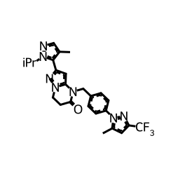 Cc1cnn(C(C)C)c1-c1cc2n(n1)CCC(=O)N2Cc1ccc(-n2nc(C(F)(F)F)cc2C)cc1